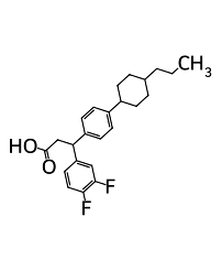 CCCC1CCC(c2ccc(C(CC(=O)O)c3ccc(F)c(F)c3)cc2)CC1